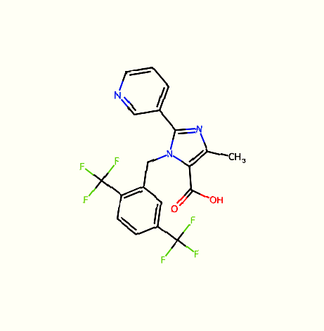 Cc1nc(-c2cccnc2)n(Cc2cc(C(F)(F)F)ccc2C(F)(F)F)c1C(=O)O